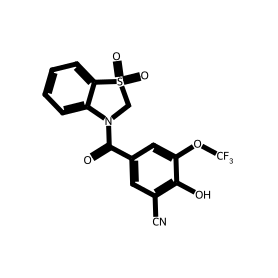 N#Cc1cc(C(=O)N2CS(=O)(=O)c3ccccc32)cc(OC(F)(F)F)c1O